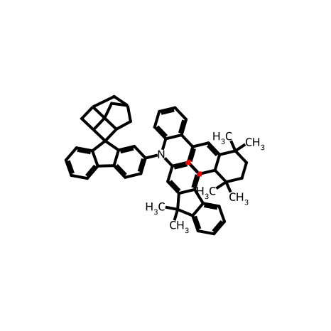 CC1(C)CCC(C)(C)C2CC=C(c3ccccc3N(c3ccc4c(c3)C(C)(C)c3ccccc3-4)c3ccc4c(c3)C3(c5ccccc5-4)C4CC5CC6CC3C64C5)C=C21